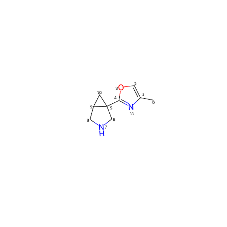 Cc1coc(C23CNCC2C3)n1